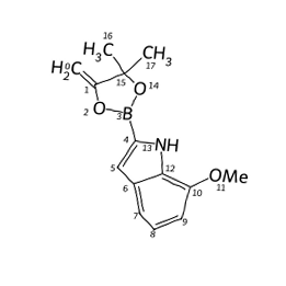 C=C1OB(c2cc3cccc(OC)c3[nH]2)OC1(C)C